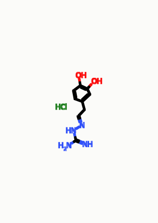 Cl.N=C(N)NN=CCc1ccc(O)c(O)c1